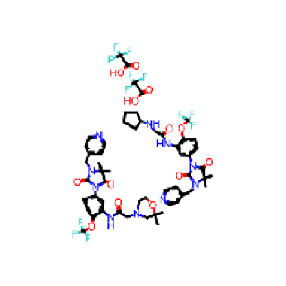 CC1(C)C(=O)N(c2ccc(OC(F)(F)F)c(NC(=O)CNC3CCCC3)c2)C(=O)N1Cc1ccncc1.CC1(C)CN(CC(=O)Nc2cc(N3C(=O)N(Cc4ccncc4)C(C)(C)C3=O)ccc2OC(F)(F)F)CCO1.O=C(O)C(F)(F)F.O=C(O)C(F)(F)F